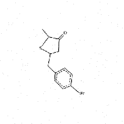 CC1SC(Cc2ccc(C(C)C)cc2)CC1=O